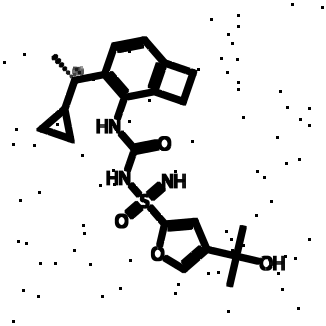 C[C@H](c1ccc2c(c1NC(=O)NS(=N)(=O)c1cc(C(C)(C)O)co1)CC2)C1CC1